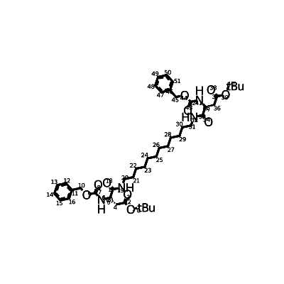 CC(C)(C)OC(=O)C[C@H](NC(=O)OCc1ccccc1)C(=O)NCCCCCCCCCCCCNC(=O)[C@H](CC(=O)OC(C)(C)C)NC(=O)OCc1ccccc1